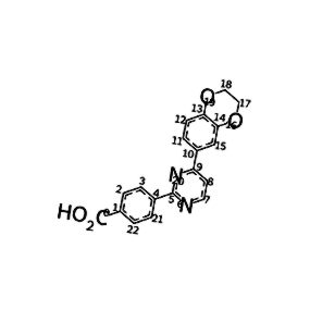 O=C(O)c1ccc(-c2nccc(-c3ccc4c(c3)OCCO4)n2)cc1